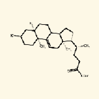 COC(=O)CC[C@@H](C)[C@H]1CCC2C3CC[C@@H]4C[C@H](O)CC[C@]4(C)C3=CC[C@@]21C